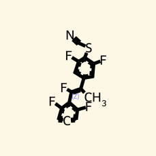 C/C(=C(/F)c1c(F)cccc1F)c1cc(F)c(SC#N)c(F)c1